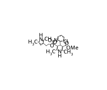 COC(=O)C1=C(C)NC(C)=C(C(=O)OCCc2cc(C)[nH]c2C)C1c1c(Cl)cccc1[N+](=O)[O-]